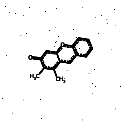 Cc1c2cc3ccccc3oc-2cc(=O)c1C